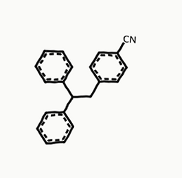 N#Cc1ccc(C[C](c2ccccc2)c2ccccc2)cc1